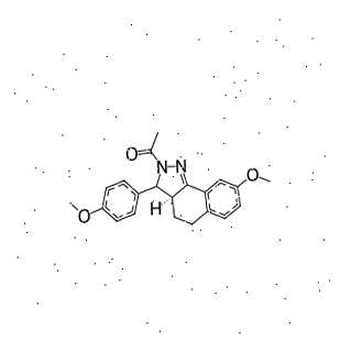 COc1ccc(C2[C@@H]3CCc4ccc(OC)cc4C3=NN2C(C)=O)cc1